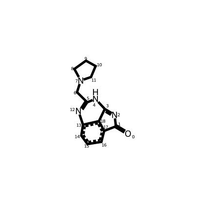 O=C1N=C2NC(CN3CCCC3)=Nc3cccc1c32